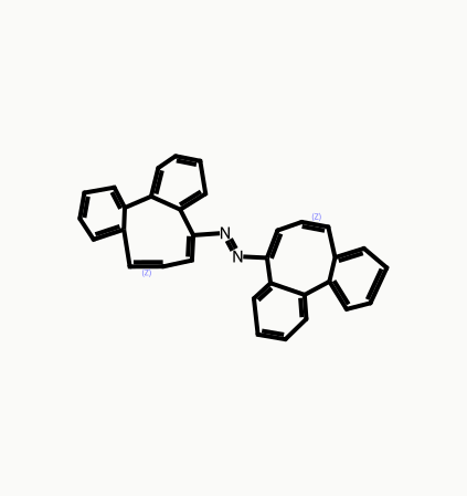 C1=C(N=NC2=C/C=C\c3ccccc3-c3ccccc32)c2ccccc2-c2ccccc2/C=C\1